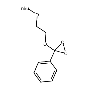 CCCCOCCOC1(c2ccccc2)OO1